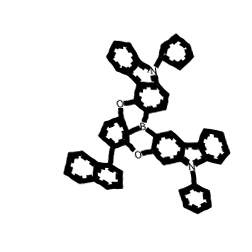 c1ccc(-n2c3ccccc3c3cc4c(cc32)Oc2c(-c3cccc5ccccc35)ccc3c2B4c2ccc4c(c2O3)c2ccccc2n4-c2ccccc2)cc1